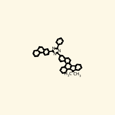 CC1(C)c2ccccc2-c2c1c1ccccc1c1c2ccc2cc(-c3nc(-c4ccccc4)nc(-c4ccc5c(ccc6ccccc65)c4)n3)ccc21